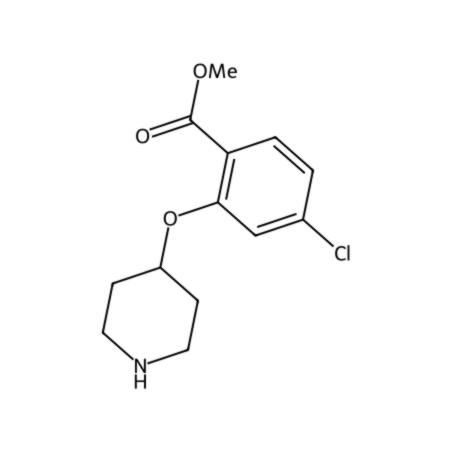 COC(=O)c1ccc(Cl)cc1OC1CCNCC1